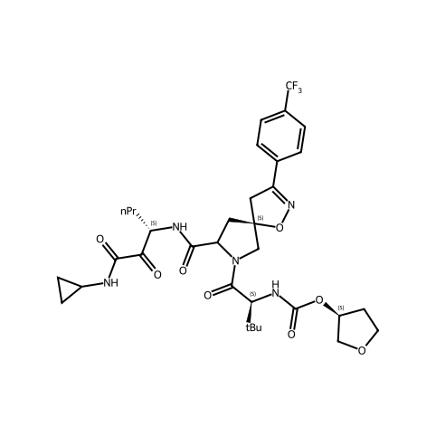 CCC[C@H](NC(=O)C1C[C@]2(CC(c3ccc(C(F)(F)F)cc3)=NO2)CN1C(=O)[C@@H](NC(=O)O[C@H]1CCOC1)C(C)(C)C)C(=O)C(=O)NC1CC1